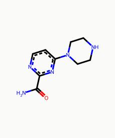 NC(=O)c1nccc(N2CCNCC2)n1